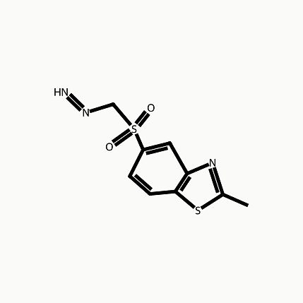 Cc1nc2cc(S(=O)(=O)CN=N)ccc2s1